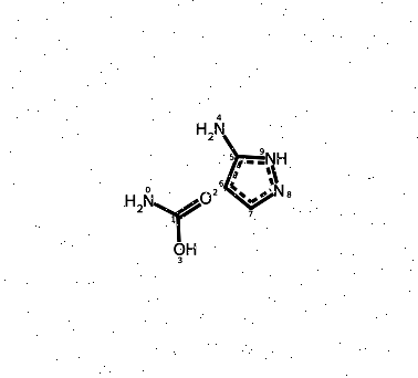 NC(=O)O.Nc1ccn[nH]1